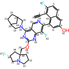 C#Cc1c(F)ccc2cc(O)cc(-c3ncc4c(N5CC6CCC(C6)C5)nc(OC[C@@]56CCCN5C[C@H](F)C6)nc4c3F)c12